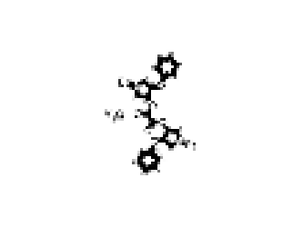 CCN1CC(OC(=O)C(=O)OC2CN(CC)CC2Oc2ccccc2)C(Oc2ccccc2)C1.O